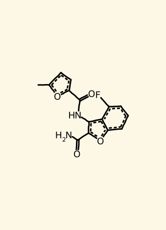 Cc1ccc(C(=O)Nc2c(C(N)=O)oc3cccc(F)c23)o1